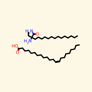 CCCCCCCC/C=C\CCCCCCCCCCCC(=O)O.CCCCCCCCCCCCCCC(N)(CC)C(N)=O